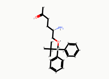 CC(=O)CC[C@H](N)CO[Si](c1ccccc1)(c1ccccc1)C(C)(C)C